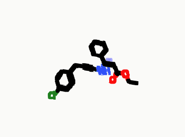 CCOC(=O)/C=C(\NC#CCc1ccc(Cl)cc1)c1ccccc1